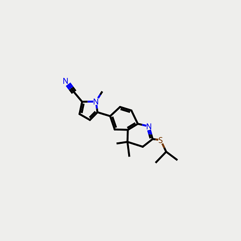 CC(C)SC1=Nc2ccc(-c3ccc(C#N)n3C)cc2C(C)(C)C1